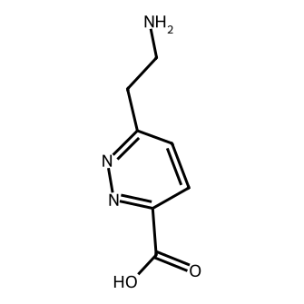 NCCc1ccc(C(=O)O)nn1